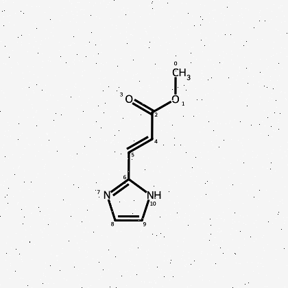 COC(=O)/C=C/c1ncc[nH]1